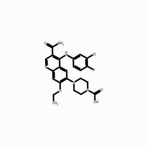 CCOc1cc2ncc(C(N)=O)c(Nc3ccc(F)c(Cl)c3)c2cc1N1CCN(C(=O)O)CC1